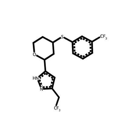 FC(F)(F)Cc1cc(C2CC(Sc3cccc(C(F)(F)F)c3)CCO2)[nH]n1